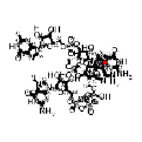 CO[C@H]1C(OP(=O)(O)OC[C@H]2O[C@@H](n3cnc4c(N)ncnc43)[C@@H](O)C2OP(=O)(O)OC[C@H]2ON(n3cnc4c(=O)[nH]c(C)nc43)[C@@H](O)C2O)[C@@H](COP(=O)(O)OP(=O)([O-])OP(=O)(O)OCC2O[C@@H](n3c[n+](C)c4c(=O)[nH]c(N)nc43)C(O)C2O)O[C@H]1n1cnc2c(=O)[nH]c(N)nc21